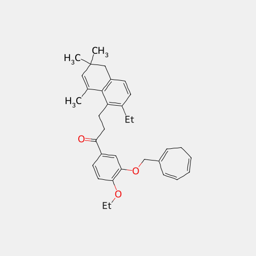 CCOc1ccc(C(=O)CCc2c(CC)ccc3c2C(C)=CC(C)(C)C3)cc1OCC1=CCC=CC=C1